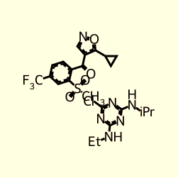 CCNc1nc(Cl)nc(NC(C)C)n1.CS(=O)(=O)c1cc(C(F)(F)F)ccc1C(=O)c1cnoc1C1CC1